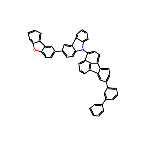 c1ccc(-c2cccc(-c3ccc4c(c3)-c3cccc5c(-n6c7ccccc7c7cc(-c8ccc9oc%10ccccc%10c9c8)ccc76)ccc-4c35)c2)cc1